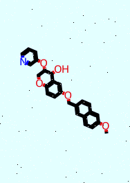 COc1ccc2cc(COc3ccc4c(c3)C(O)C(Oc3cccnc3)CO4)ccc2c1